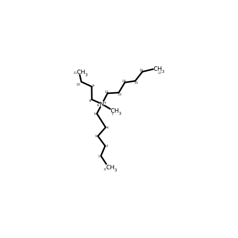 CCCCCC[N+](C)(CCCC)CCCCCC